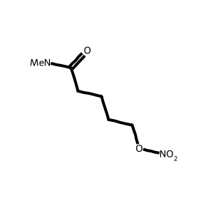 CNC(=O)CCCCO[N+](=O)[O-]